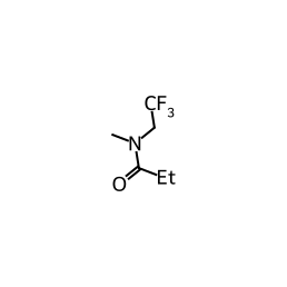 CCC(=O)N(C)CC(F)(F)F